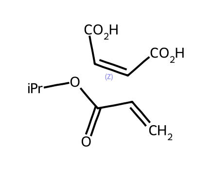 C=CC(=O)OC(C)C.O=C(O)/C=C\C(=O)O